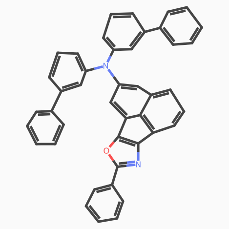 c1ccc(-c2cccc(N(c3cccc(-c4ccccc4)c3)c3cc4c5c(cccc5c3)-c3nc(-c5ccccc5)oc3-4)c2)cc1